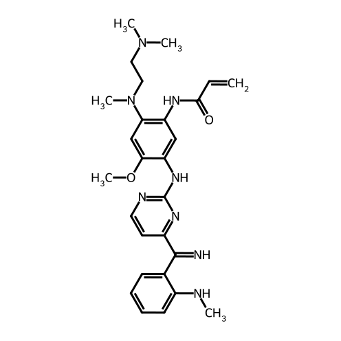 C=CC(=O)Nc1cc(Nc2nccc(C(=N)c3ccccc3NC)n2)c(OC)cc1N(C)CCN(C)C